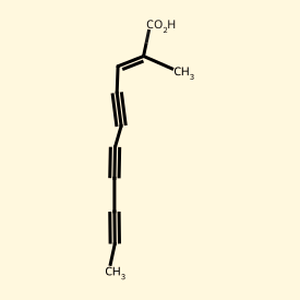 CC#CC#CC#C/C=C(\C)C(=O)O